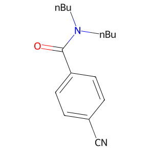 CCCCN(CCCC)C(=O)c1ccc(C#N)cc1